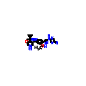 COc1cc(CNC(C=O)(C2CCNCC2)C2CC2)ccc1-c1cc(Nc2cnc(C#N)cn2)n[nH]1